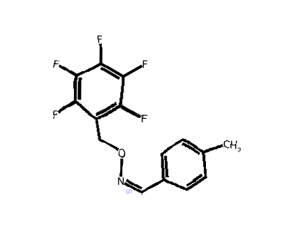 Cc1ccc(/[C]=N\OCc2c(F)c(F)c(F)c(F)c2F)cc1